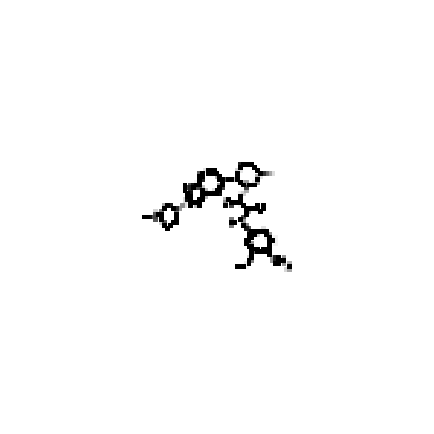 CCc1cc(NC(=O)C(=O)N2C[C@@H](C)CC[C@@H]2c2ccc3nn([C@@H]4CCN(C)C4)cc3c2)cnc1N